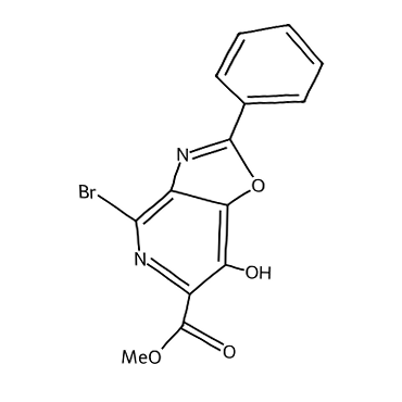 COC(=O)c1nc(Br)c2nc(-c3ccccc3)oc2c1O